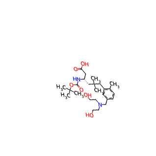 Cc1ccc(CN(CCO)CCO)cc1CC(C)(C)C[C@@H](CC(=O)O)NC(=O)OC(C)(C)C